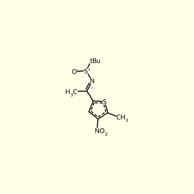 C/C(=N\[S+]([O-])C(C)(C)C)c1cc([N+](=O)[O-])c(C)s1